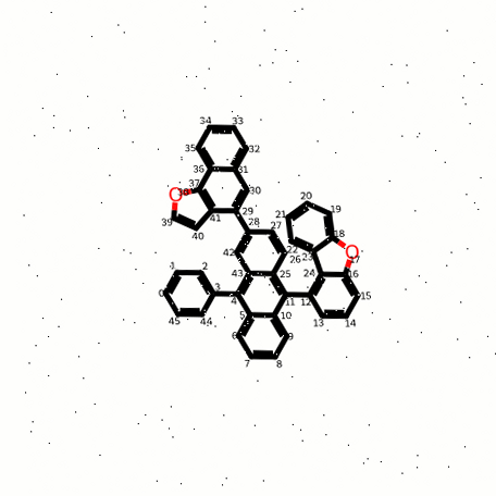 c1ccc(-c2c3ccccc3c(-c3cccc4oc5ccccc5c34)c3ccc(-c4cc5ccccc5c5occc45)cc23)cc1